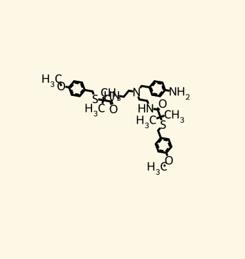 COc1ccc(CSC(C)(C)C(=O)NCCN(CCNC(=O)C(C)(C)SCc2ccc(OC)cc2)Cc2ccc(N)cc2)cc1